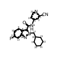 N#Cc1cc(NC(=O)c2c3ccc(F)cc3nn2CC2CCCCC2)ccn1